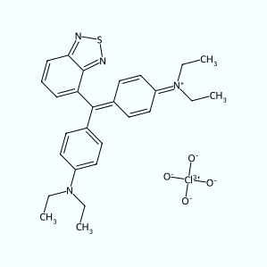 CCN(CC)c1ccc(C(=C2C=CC(=[N+](CC)CC)C=C2)c2cccc3nsnc23)cc1.[O-][Cl+3]([O-])([O-])[O-]